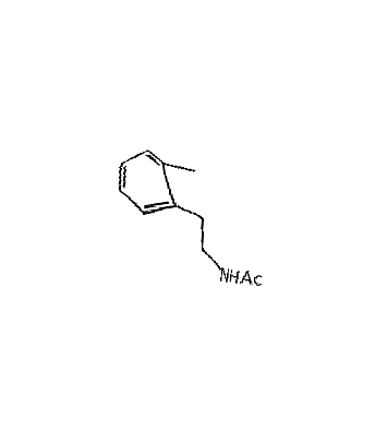 CC(=O)NCCc1ccccc1C